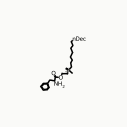 CCCCCCCCCCCCCCCCCC[Si](C)(C)CCOC(=O)[C@@H](N)Cc1ccccc1